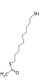 CC(=O)SCCCCCCCCCCS